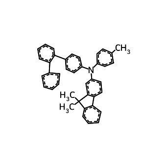 Cc1ccc(N(c2ccc(-c3ccccc3-c3ccccc3)cc2)c2ccc3c(c2)C(C)(C)c2ccccc2-3)cc1